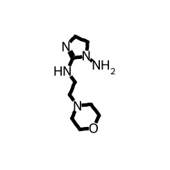 NN1CCN=C1NCCN1CCOCC1